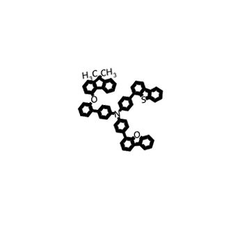 CC1(C)c2ccccc2-c2c(Oc3ccccc3-c3ccc(N(c4ccc(-c5cccc6c5oc5ccccc56)cc4)c4ccc(-c5cccc6c5sc5ccccc56)cc4)cc3)cccc21